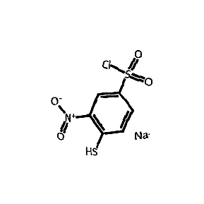 O=[N+]([O-])c1cc(S(=O)(=O)Cl)ccc1S.[Na]